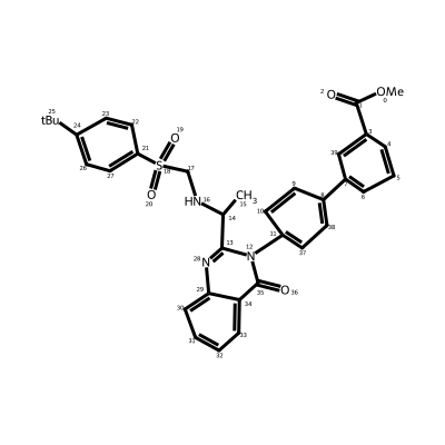 COC(=O)c1cccc(-c2ccc(-n3c(C(C)NCS(=O)(=O)c4ccc(C(C)(C)C)cc4)nc4ccccc4c3=O)cc2)c1